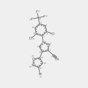 N#Cc1nn(-c2c(Cl)cc(C(F)(F)F)cc2Cl)cc1-c1cc(Br)no1